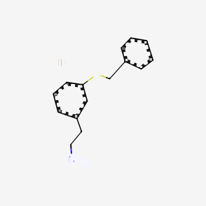 Br.NCCc1cccc(SCc2ccccc2)c1